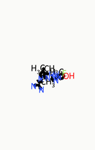 CC(C)c1ccc(N2C[C@H](C(C#N)C#N)[C@H]2C)c2cnc(Nc3ccnc(N4CC[C@@H](O)[C@@](C)(F)C4)n3)cc12